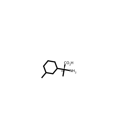 CC1CCCC([C@@](C)(N)C(=O)O)C1